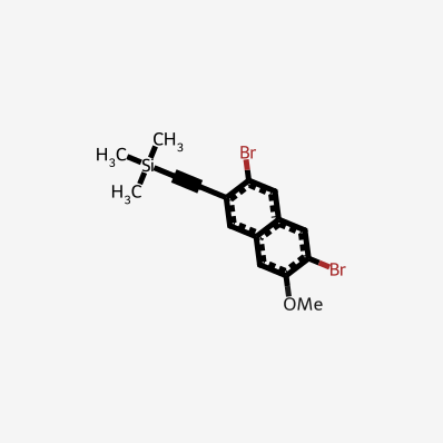 COc1cc2cc(C#C[Si](C)(C)C)c(Br)cc2cc1Br